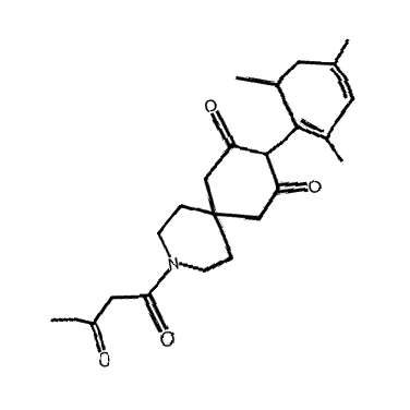 CC(=O)CC(=O)N1CCC2(CC1)CC(=O)C(C1=C(C)C=C(C)CC1C)C(=O)C2